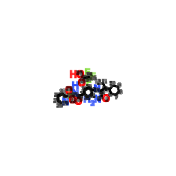 NC(=O)[C@@H]1[C@H](C2CCCCC2)CCN1c1ccc(C(=O)NS(=O)(=O)c2ccccn2)cc1.O=C(O)C(F)(F)F